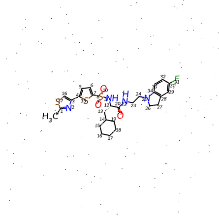 Cc1nc(-c2ccc(S(=O)(=O)N[C@@H](CC3CCCCC3)C(=O)NCCN3CCc4cc(F)ccc43)s2)cs1